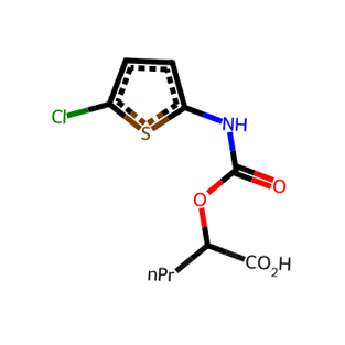 CCCC(OC(=O)Nc1ccc(Cl)s1)C(=O)O